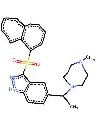 CC(c1ccc2[nH]nc(S(=O)(=O)c3cccc4ccccc34)c2c1)N1CCN(C)CC1